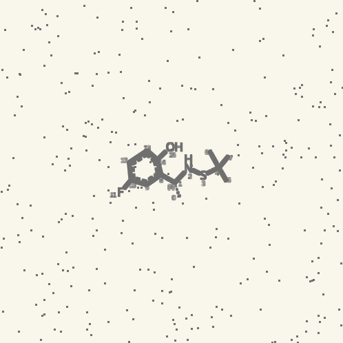 C[C@@H](NSC(C)(C)C)c1cc(F)ccc1O